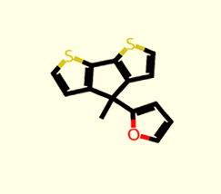 CC1(c2ccco2)c2ccsc2-c2sccc21